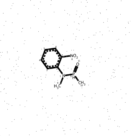 CN(c1ccccc1[N+](=O)[O-])[PH](C)=O